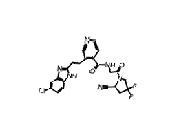 N#CC1CC(F)(F)CN1C(=O)CNC(=O)c1ccncc1C=Cc1nc2cc(Cl)ccc2[nH]1